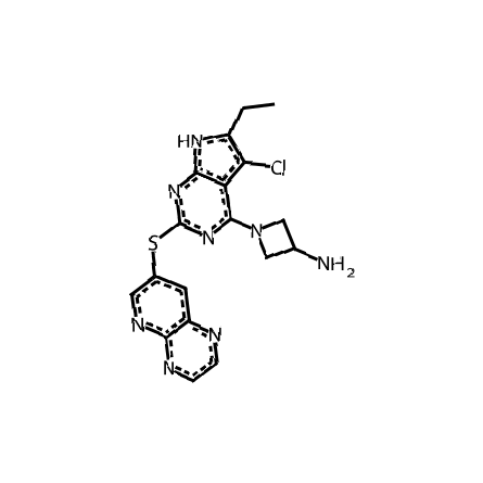 CCc1[nH]c2nc(Sc3cnc4nccnc4c3)nc(N3CC(N)C3)c2c1Cl